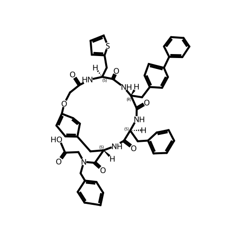 O=C(O)CN(Cc1ccccc1)C(=O)[C@@H]1Cc2ccc(cc2)OCC(=O)N[C@@H](Cc2cccs2)C(=O)N[C@H](Cc2ccc(-c3ccccc3)cc2)C(=O)N[C@@H](Cc2ccccc2)C(=O)N1